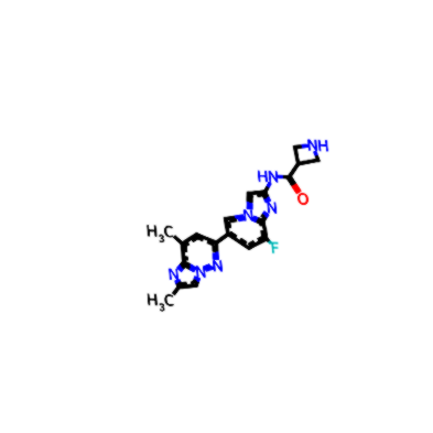 Cc1cn2nc(-c3cc(F)c4nc(NC(=O)C5CNC5)cn4c3)cc(C)c2n1